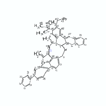 C=C/C1=N/C(=C)C2C(CCc3ccc4c(oc5nc(-c6ccccc6)ccc54)c31)c1cc3ccccc3cc1-c1cc(CC(C)C)c([Si](C)(C)C)c[n+]12